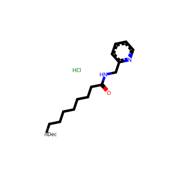 CCCCCCCCCCCCCCCCCC(=O)NCc1ccccn1.Cl